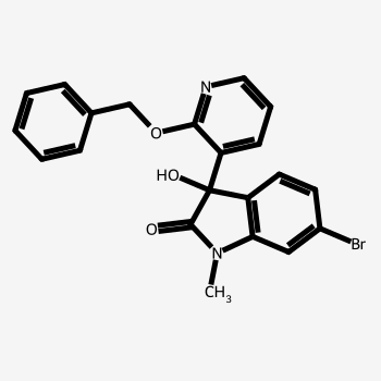 CN1C(=O)C(O)(c2cccnc2OCc2ccccc2)c2ccc(Br)cc21